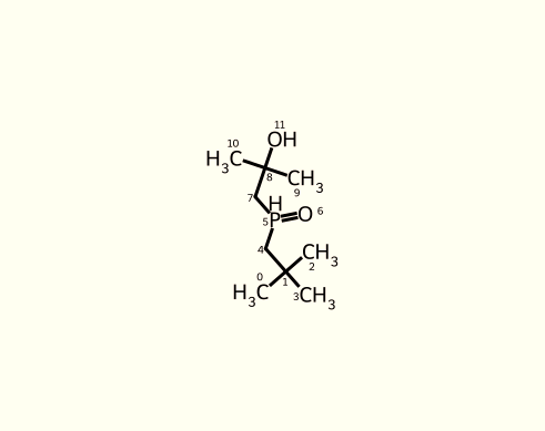 CC(C)(C)C[PH](=O)CC(C)(C)O